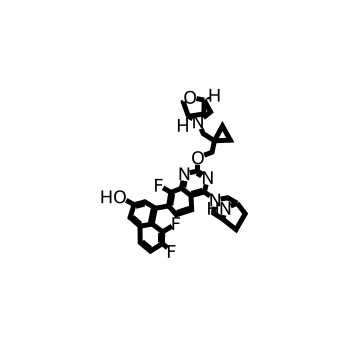 Oc1cc(-c2ccc3c(N4CC5CCC(C4)N5)nc(OCC4(CN5C[C@H]6C[C@@H]5CO6)CC4)nc3c2F)c2c(F)c(F)ccc2c1